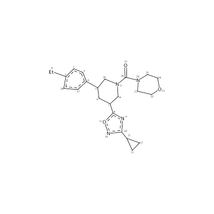 CCc1ccc(C2CC(c3nc(C4CC4)no3)CN(C(=O)N3CCOCC3)C2)cc1